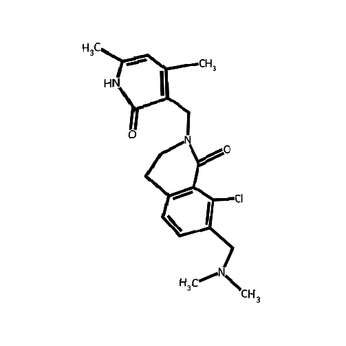 Cc1cc(C)c(CN2CCc3ccc(CN(C)C)c(Cl)c3C2=O)c(=O)[nH]1